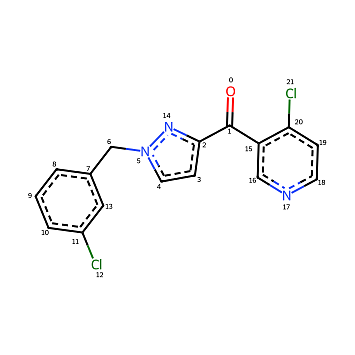 O=C(c1ccn(Cc2cccc(Cl)c2)n1)c1cnccc1Cl